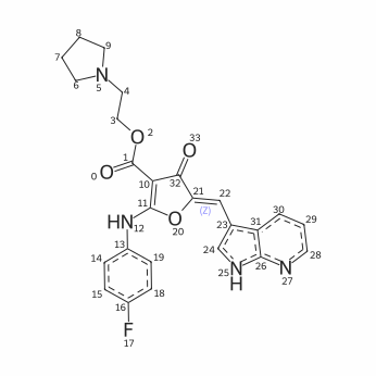 O=C(OCCN1CCCC1)C1=C(Nc2ccc(F)cc2)O/C(=C\c2c[nH]c3ncccc23)C1=O